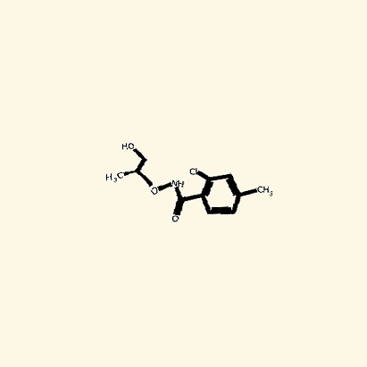 Cc1ccc(C(=O)NO[C@@H](C)CO)c(Cl)c1